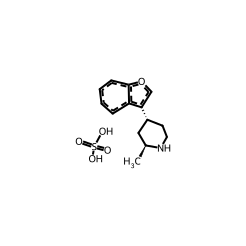 C[C@H]1C[C@H](c2coc3ccccc23)CCN1.O=S(=O)(O)O